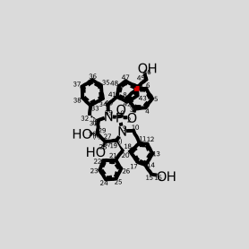 O=P1(Oc2ccccc2)N(Cc2ccc(CO)cc2)[C@@H](Cc2ccccc2)[C@@H](O)[C@H](O)[C@H](Cc2ccccc2)N1Cc1ccc(CO)cc1